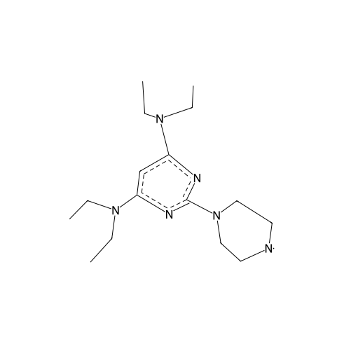 CCN(CC)c1cc(N(CC)CC)nc(N2CC[N]CC2)n1